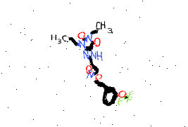 CCCn1c(=O)c2[nH]c(-c3cc(OCC#Cc4cccc(OC(F)(F)F)c4)no3)nc2n(CCC)c1=O